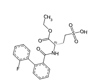 CCOC(=O)[C@H](CCS(=O)(=O)O)NC(=O)c1ccccc1-c1ccccc1F